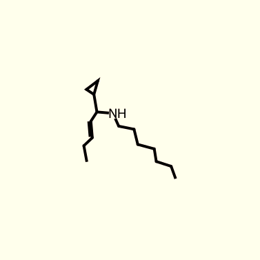 CCC=CC(NCCCCCCC)C1CC1